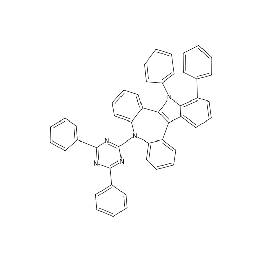 c1ccc(-c2nc(-c3ccccc3)nc(N3c4ccccc4-c4c(n(-c5ccccc5)c5c(-c6ccccc6)cccc45)-c4ccccc43)n2)cc1